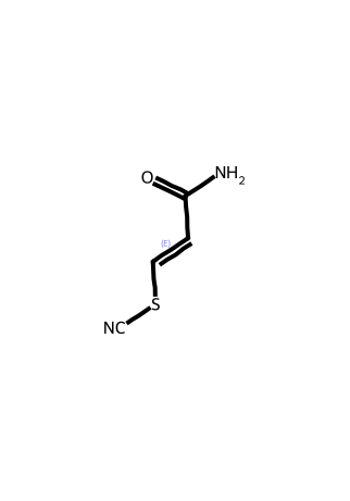 N#CS/C=C/C(N)=O